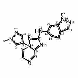 Cn1cc([N+]23C=CN=CC2=NC(Nc2ccc4cnn(C)c4c2)=N3)cn1